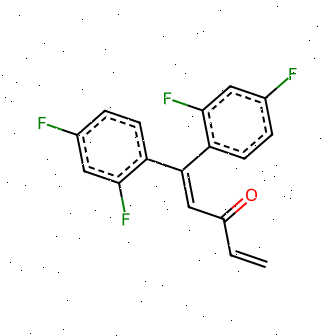 C=CC(=O)C=C(c1ccc(F)cc1F)c1ccc(F)cc1F